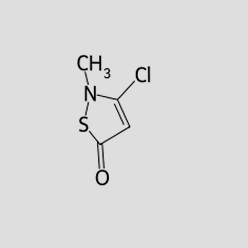 Cn1sc(=O)cc1Cl